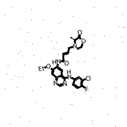 CCOc1cc2ncnc(Nc3ccc(F)c(Cl)c3)c2cc1NC(=O)C=CCN1CCOC(=O)[C@@H]1C